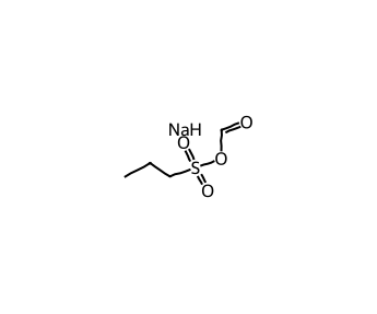 CCCS(=O)(=O)OC=O.[NaH]